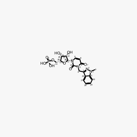 Cn1nc(Cn2c(=O)ccn([C@@H]3O[C@H](COP(=O)(O)O)[C@H](O)[C@@H]3O)c2=O)c2ccccc21